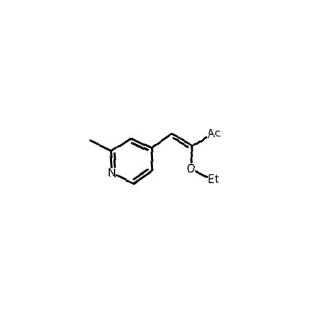 CCOC(=Cc1ccnc(C)c1)C(C)=O